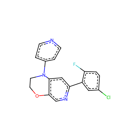 Fc1ccc(Cl)cc1-c1cc2c(cn1)OCCN2c1ccncc1